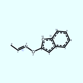 C/C=N/Oc1cc2ccccc2o1